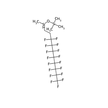 C[SiH](CCC(F)(F)C(F)(F)C(F)(F)C(F)(F)C(F)(F)C(F)(F)C(F)(F)C(F)(F)F)O[Si](C)(C)C